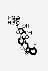 O=c1ccn([C@@H]2O[C@H](COP(=O)(O)O)[C@H](O)C2O)c(=O)n1Cc1noc2cccc(F)c12